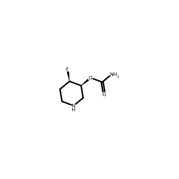 NC(=O)O[C@H]1CNCC[C@H]1F